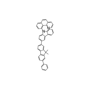 CC1(C)c2cc(-c3ccccc3)ccc2-c2ccc(-c3ccc4c(c3)c3ccccc3n4-c3cccc4ccc5cccnc5c34)cc21